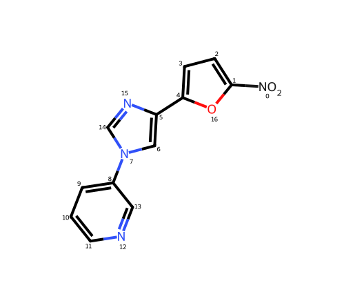 O=[N+]([O-])c1ccc(-c2cn(-c3cccnc3)cn2)o1